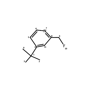 CC(C)(C)c1ccnc(CF)c1